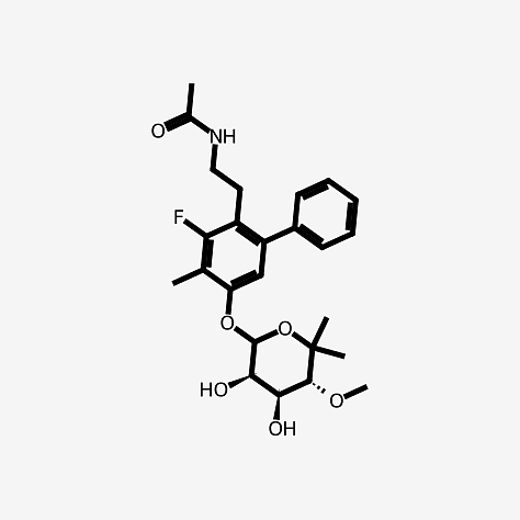 CO[C@@H]1[C@@H](O)[C@@H](O)C(Oc2cc(-c3ccccc3)c(CCNC(C)=O)c(F)c2C)OC1(C)C